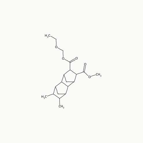 CCOCOC(=O)C1C2CC(C1C(=O)OC)C1C3CC(C(C)C3C)C21